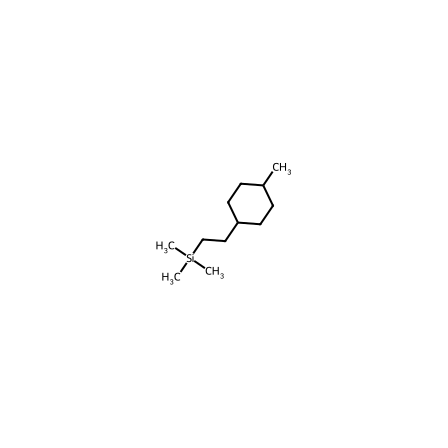 CC1CCC(CC[Si](C)(C)C)CC1